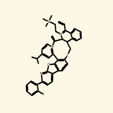 C=CC1=[N+](CC[Si](C)(C)C)C2C(=C)[n+]3ccc(C(C)C)cc3-c3c(ccc4c3oc3nc(-c5ccccc5F)ccc34)CCC2c2ccccc21